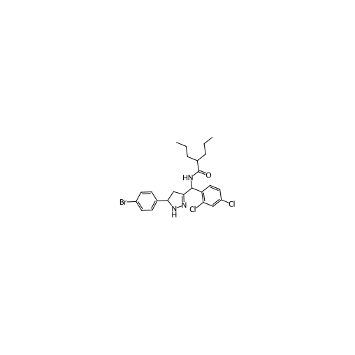 CCCC(CCC)C(=O)NC(C1=NNC(c2ccc(Br)cc2)C1)c1ccc(Cl)cc1Cl